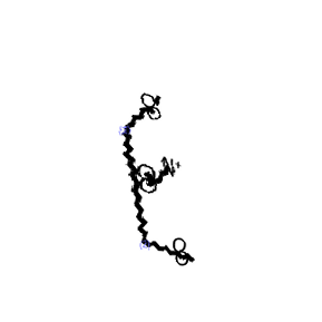 CCOC(=O)CCCC/C=C\CCCCCCCCC(CCCCCCCC/C=C\CCCCC(=O)OCC)OC(=O)CCC[N+](C)(C)C